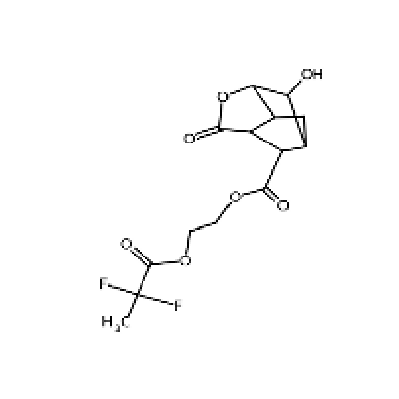 CC(F)(F)C(=O)OCCOC(=O)C1C2CC3C(OC(=O)C31)C2O